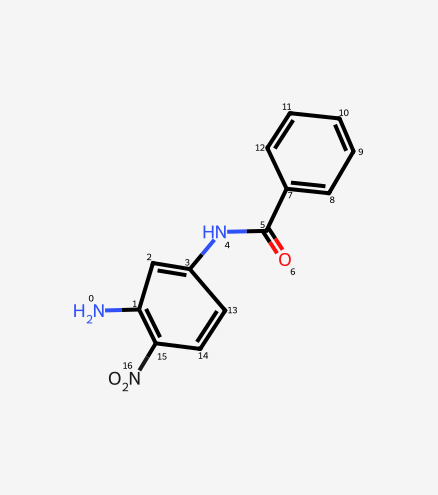 Nc1cc(NC(=O)c2ccccc2)ccc1[N+](=O)[O-]